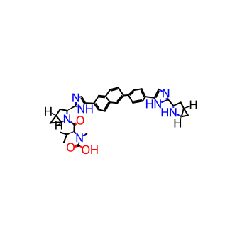 CC(C)[C@@H](C(=O)N1[C@@H]2C[C@@H]2C[C@H]1c1ncc(-c2ccc3cc(-c4ccc(-c5cnc(C6C[C@@H]7C[C@H]7N6)[nH]5)cc4)ccc3c2)[nH]1)N(C)C(=O)O